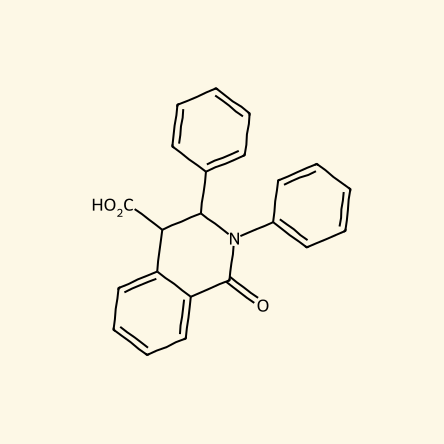 O=C(O)C1c2ccccc2C(=O)N(c2ccccc2)C1c1ccccc1